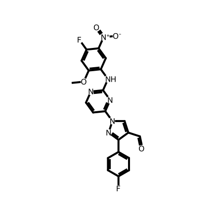 COc1cc(F)c([N+](=O)[O-])cc1Nc1nccc(-n2cc(C=O)c(-c3ccc(F)cc3)n2)n1